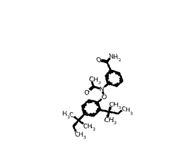 CCC(C)(C)c1ccc(ON(C(C)=O)c2cccc(C(N)=O)c2)c(C(C)(C)CC)c1